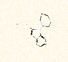 O=C(O)c1cc2ccccc2n1C1CCCCC1